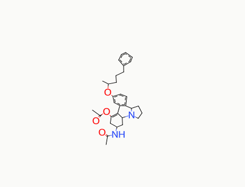 CC(=O)NC1CC(OC(C)=O)=C2c3cc(OC(C)CCCc4ccccc4)ccc3C3CCCN3C2C1